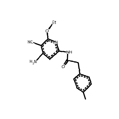 CCOc1nc(NC(=O)Cc2ccc(C)cc2)cc(N)c1C#N